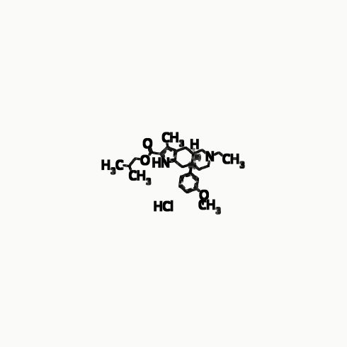 CCN1CC[C@]2(c3cccc(OC)c3)Cc3[nH]c(C(=O)OCC(C)C)c(C)c3C[C@H]2C1.Cl